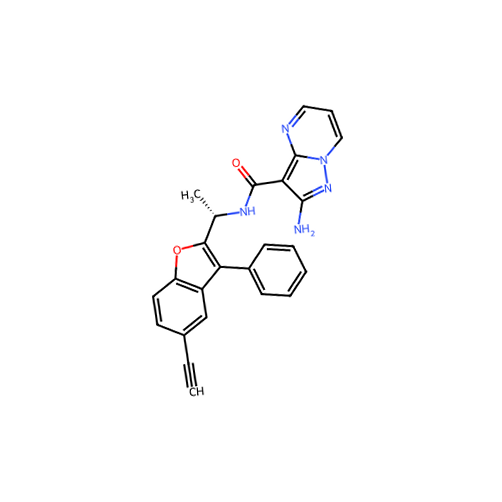 C#Cc1ccc2oc([C@H](C)NC(=O)c3c(N)nn4cccnc34)c(-c3ccccc3)c2c1